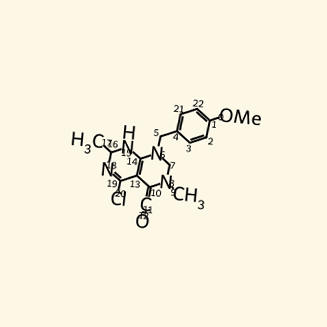 COc1ccc(CN2CN(C)C(=C=O)C3=C2NC(C)N=C3Cl)cc1